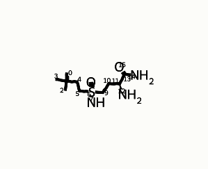 CC(C)(C)CCS(=N)(=O)CC[C@H](N)C(N)=O